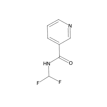 O=C(NC(F)F)c1cccnc1